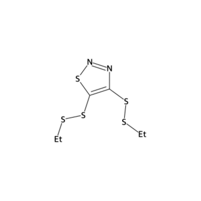 CCSSc1nnsc1SSCC